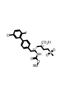 CCOC(=O)[C@H](CCS(C)(=O)=O)C[C@@H](Cc1ccc(-c2cc(Cl)ccc2F)cc1)NC(=O)OC(C)(C)C